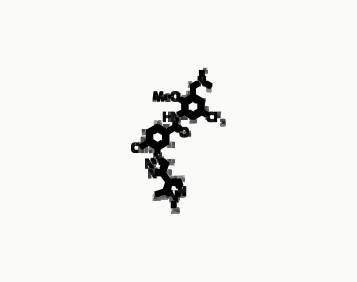 COc1c(CN(C)C)cc(C(F)(F)F)cc1NC(=O)c1ccc(Cl)c(-n2cc(-c3cnn(C)c3C)nn2)c1